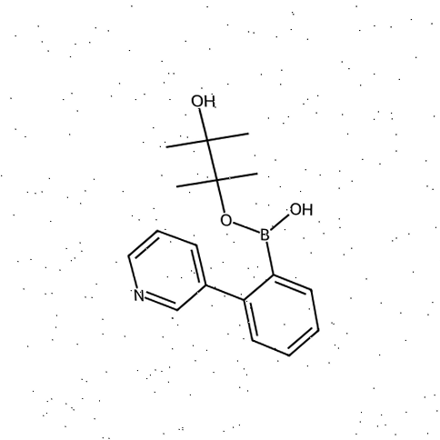 CC(C)(O)C(C)(C)OB(O)c1ccccc1-c1cccnc1